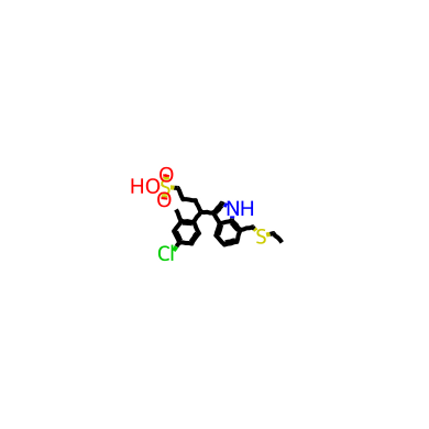 CCSCc1cccc2c(C(CCCS(=O)(=O)O)c3ccc(Cl)cc3C)c[nH]c12